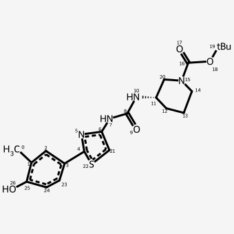 Cc1cc(-c2nc(NC(=O)N[C@H]3CCCN(C(=O)OC(C)(C)C)C3)cs2)ccc1O